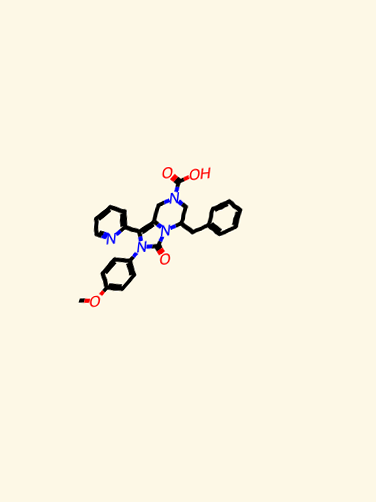 COc1ccc(-n2c(-c3ccccn3)c3n(c2=O)C(Cc2ccccc2)CN(C(=O)O)C3)cc1